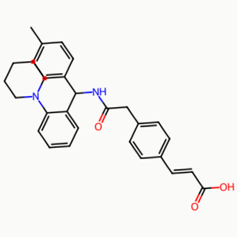 Cc1ccc(C(NC(=O)Cc2ccc(/C=C/C(=O)O)cc2)c2ccccc2N2CCCCC2)cc1